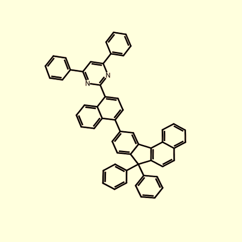 c1ccc(-c2cc(-c3ccccc3)nc(-c3ccc(-c4ccc5c(c4)-c4c(ccc6ccccc46)C5(c4ccccc4)c4ccccc4)c4ccccc34)n2)cc1